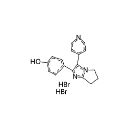 Br.Br.Oc1ccc(-c2nc3n(c2-c2ccncc2)CCC3)cc1